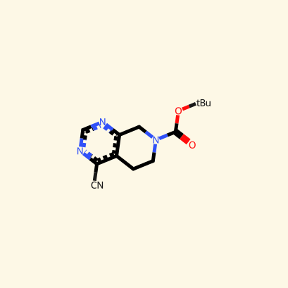 CC(C)(C)OC(=O)N1CCc2c(C#N)ncnc2C1